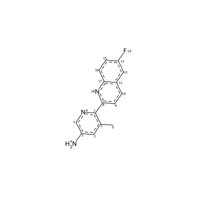 Cc1cc(N)cnc1-c1ccc2cc(F)ccc2n1